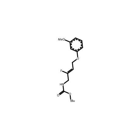 COc1cccc(OCC=C(F)CNC(=O)OC(C)(C)C)c1